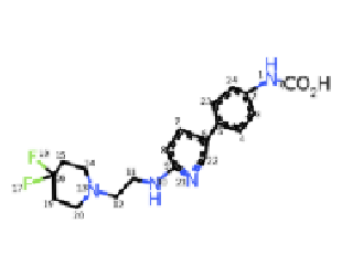 O=C(O)Nc1ccc(-c2ccc(NCCN3CCC(F)(F)CC3)nc2)cc1